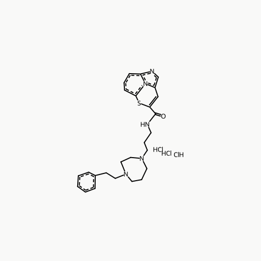 Cl.Cl.Cl.O=C(NCCCN1CCCN(CCc2ccccc2)CC1)C1=Cc2cnc3cccc(n23)S1